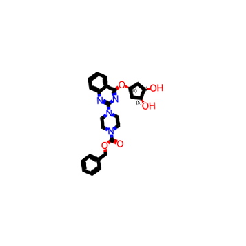 O=C(OCc1ccccc1)N1CCN(c2nc(O[C@H]3C[C@@H](O)[C@@H](O)C3)c3ccccc3n2)CC1